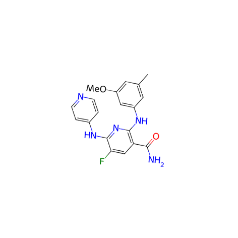 COc1cc(C)cc(Nc2nc(Nc3ccncc3)c(F)cc2C(N)=O)c1